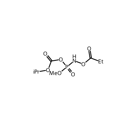 CCC(=O)ONP(=O)(OC)OC(=O)OC(C)C